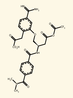 CN(C)C(=O)c1ccc(C(=O)N[C@@H](COc2cc(C(=N)N)ccc2CC(=O)C(=O)O)CC(=O)OC(=O)C(F)(F)F)cc1